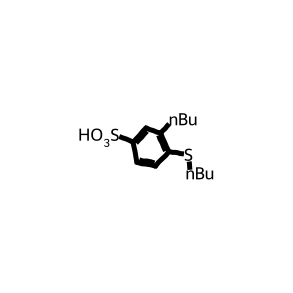 CCCCSc1ccc(S(=O)(=O)O)cc1CCCC